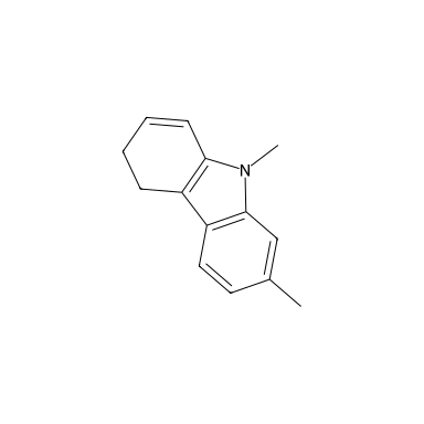 Cc1ccc2c3c(n(C)c2c1)C=CCC3